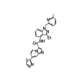 CCc1nn(Cc2cccc(C)n2)c2cccc(NC(=O)c3cnc4cc(-c5nncs5)ccn34)c12